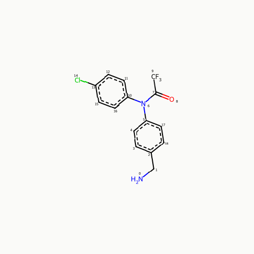 NCc1ccc(N(C(=O)C(F)(F)F)c2ccc(Cl)cc2)cc1